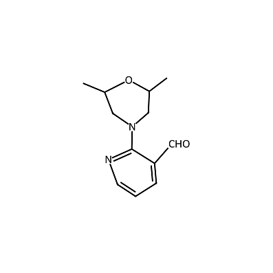 CC1CN(c2ncccc2C=O)CC(C)O1